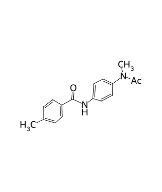 CC(=O)N(C)c1ccc(NC(=O)c2ccc(C)cc2)cc1